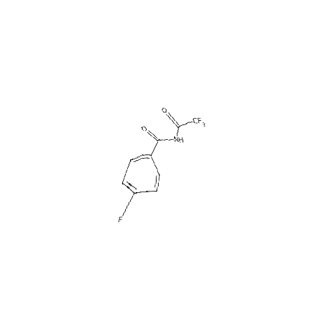 O=C(NC(=O)C(F)(F)F)c1ccc(F)cc1